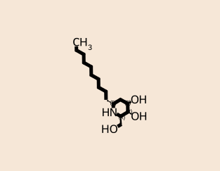 CCCCCCCCCC[C@@H]1C[C@@H](O)[C@H](O)[C@@H](CO)N1